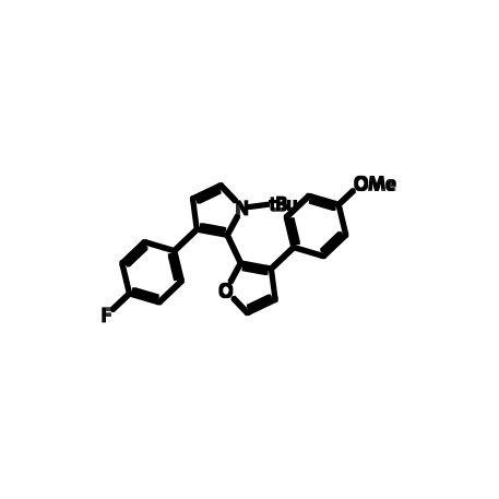 COc1ccc(-c2ccoc2-c2c(-c3ccc(F)cc3)ccn2C(C)(C)C)cc1